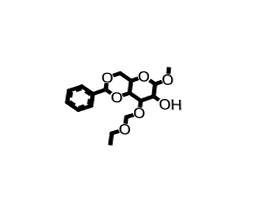 CCOCOC1C(O)C(OC)OC2COC(c3ccccc3)OC21